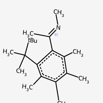 C/N=C(\C)c1c(C)c(C)c(C)c(C)c1C(C)(C)C(C)(C)C